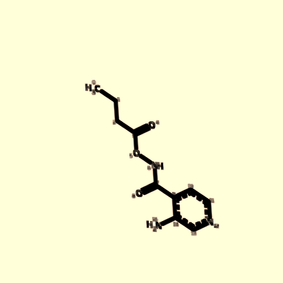 CCCC(=O)ONC(=O)c1ccncc1N